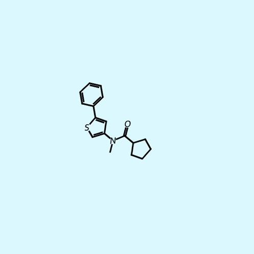 CN(C(=O)C1CCCC1)c1csc(-c2ccccc2)c1